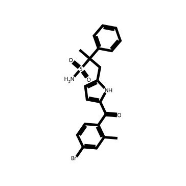 Cc1cc(Br)ccc1C(=O)c1ccc(CC(C)(c2ccccc2)S(N)(=O)=O)[nH]1